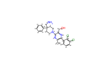 Cc1nc(N2CCC(CN)(c3ccccc3)CC2)c(CO)nc1-c1cccc(Cl)c1Cl